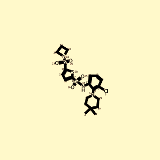 CC1(C)CCN(c2c(Cl)cccc2NS(=O)(=O)c2ccc(S(=O)(=O)N3CCC3)s2)CC1